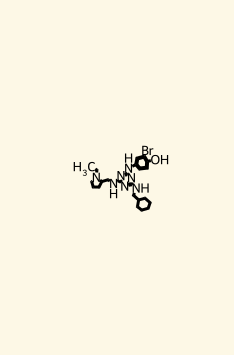 CCN1CCCC1CNc1nc(NCC2CCCCC2)nc(Nc2ccc(O)c(Br)c2)n1